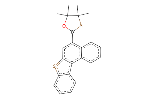 CC1(C)OB(c2cc3sc4ccccc4c3c3ccccc23)SC1(C)C